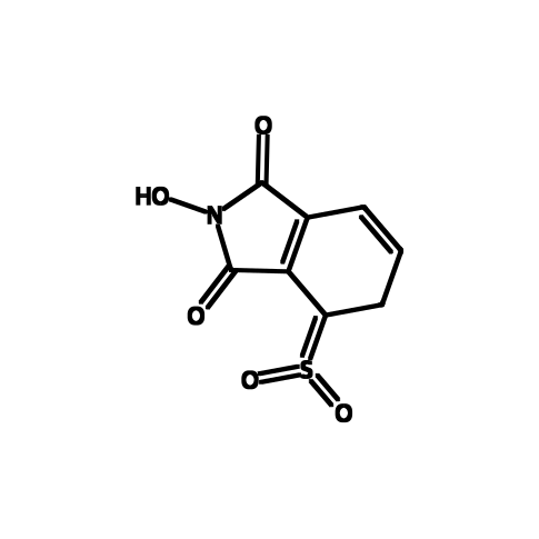 O=C1C2=C(C(=O)N1O)C(=S(=O)=O)CC=C2